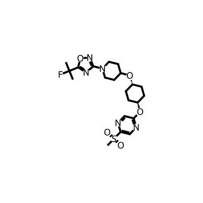 CC(C)(F)c1nc(N2CCC(O[C@H]3CC[C@H](Oc4cnc(S(C)(=O)=O)cn4)CC3)CC2)no1